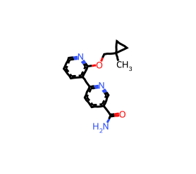 CC1(COc2ncccc2-c2ccc(C(N)=O)cn2)CC1